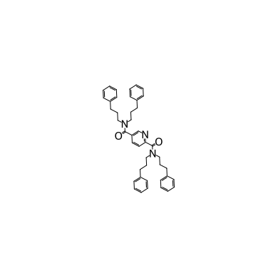 O=C(c1ccc(C(=O)N(CCCc2ccccc2)CCCc2ccccc2)nc1)N(CCCc1ccccc1)CCCc1ccccc1